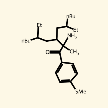 CCCCC(CC)CC(CC(CC)CCCC)C(C)(N)C(=O)c1ccc(SC)cc1